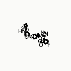 COC(=O)c1cc(F)ccc1Oc1cncnc1N1CC2(CCN(C[C@@H]3CC[C@@H](NS(=O)(=O)N4CCC4)CO3)CC2)C1